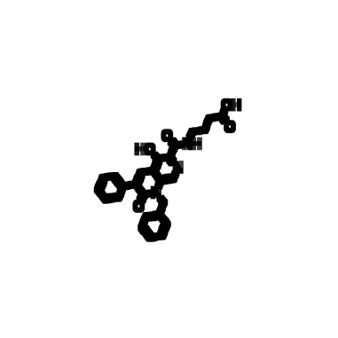 O=C(O)CCCNC(=O)c1ncc2c(cc(-c3ccccc3)c(=O)n2Cc2ccccc2)c1O